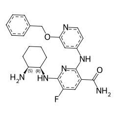 NC(=O)c1cc(F)c(N[C@@H]2CCCC[C@@H]2N)nc1Nc1ccnc(OCc2ccccc2)c1